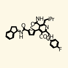 CC(C)Cc1nc(COc2ccc(F)cc2)c(C(=O)O)c(-c2ccc(C(=O)N[C@@H]3CCc4ccccc43)s2)c1C(N)=O